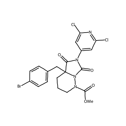 COC(=O)N1CCCC2(Cc3ccc(Br)cc3)C(=O)N(c3cc(Cl)nc(Cl)c3)C(=O)N12